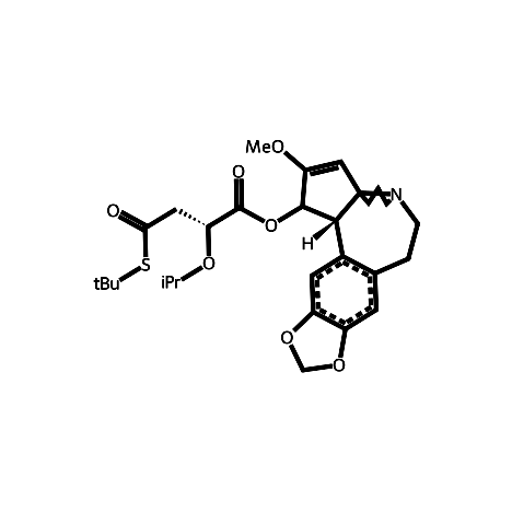 COC1=CC23CCCN2CCc2cc4c(cc2[C@@H]3C1OC(=O)[C@@H](CC(=O)SC(C)(C)C)OC(C)C)OCO4